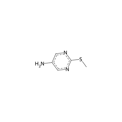 CSc1ncc(N)cn1